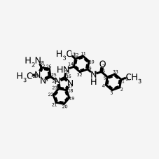 Cc1cccc(C(=O)Nc2ccc(C)c(Nc3nc4ccccc4n3-c3cc(N)n(C)n3)c2)c1